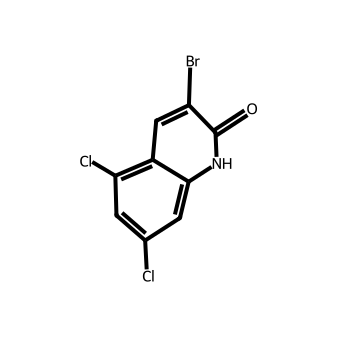 O=c1[nH]c2cc(Cl)cc(Cl)c2cc1Br